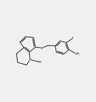 CCCc1ccc(COc2cccc3c2N(C(C)C)CCC3)cc1F